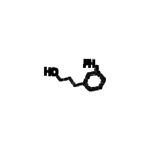 OCCCc1ccccc1.P